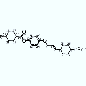 CCCCCC1CCC(C=CCOc2ccc(OC(=O)C3CCC(CC)CC3)cc2)CC1